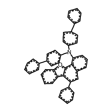 c1ccc(-c2ccc(N(c3ccc(-c4ccccc4)cc3)c3cccc4cc(-c5ccccc5)c5c6ccccc6oc5c34)cc2)cc1